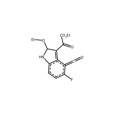 CCOC(=O)C(=O)C1=c2c(ccc(F)c2=C=O)NC1OCC